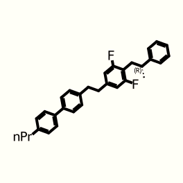 CCCc1ccc(-c2ccc(CCc3cc(F)c(C[C@@H](C)c4ccccc4)c(F)c3)cc2)cc1